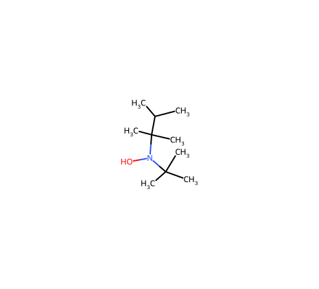 CC(C)C(C)(C)N(O)C(C)(C)C